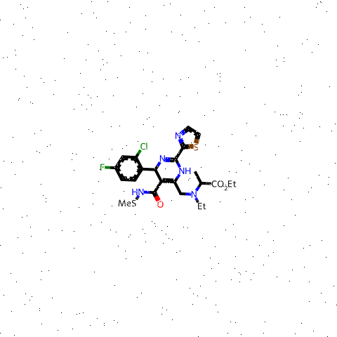 CCOC(=O)C(C)N(CC)CC1=C(C(=O)NSC)C(c2ccc(F)cc2Cl)N=C(c2nccs2)N1